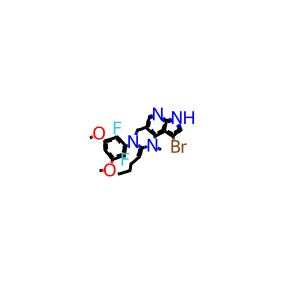 CCC/C=C1/N(C)c2c(cnc3[nH]cc(Br)c23)CN1c1c(F)c(OC)cc(OC)c1F